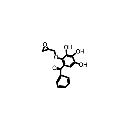 O=C(c1ccccc1)c1cc(O)c(O)c(O)c1OCC1CO1